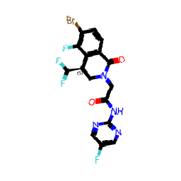 O=C(CN1C[C@@H](C(F)F)c2c(ccc(Br)c2F)C1=O)Nc1ncc(F)cn1